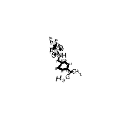 C=C(C)c1ccc(CNS(=O)(=O)C(F)(F)F)cc1